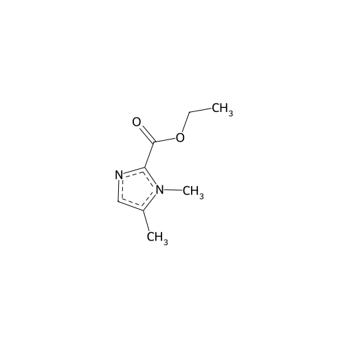 CCOC(=O)c1ncc(C)n1C